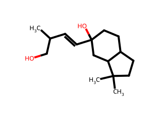 CC(/C=C/C1(O)CCC2CCC(C)(C)C2C1)CO